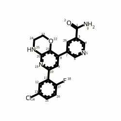 NC(=O)c1cncc(-c2cc(-c3cc(Cl)ccc3F)nc3c2OCCN3)c1